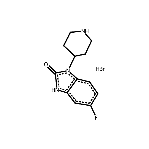 Br.O=c1[nH]c2cc(F)ccc2n1C1CCNCC1